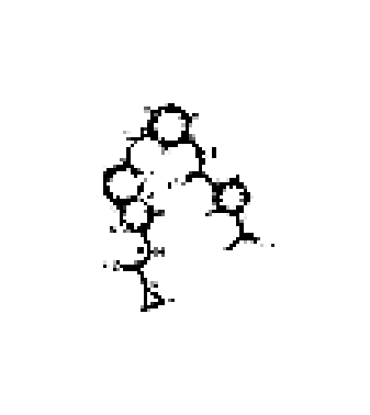 CC(=O)c1ccc(C(=O)Nc2cccc(Oc3ccc4nc(NC(=O)C5CC5)cn4n3)c2)s1